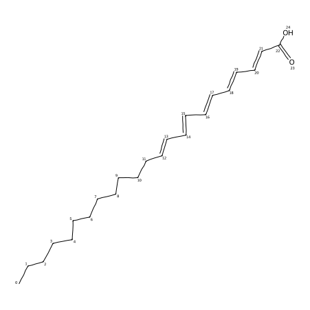 CCCCCCCCCCCCC=CC=CC=CC=CC=CC(=O)O